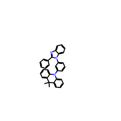 CC1(C)c2ccccc2N(c2cccc(-n3c(-c4ccccc4)nc4ccccc43)c2)c2ccccc21